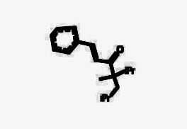 CC(C)CC(C)(C(=O)C=Cc1ccccc1)C(C)C